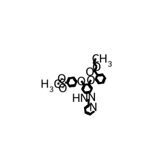 CCOC(=O)c1ccccc1Oc1cc2nc(-c3ccccn3)[nH]c2cc1Oc1ccc(S(C)(=O)=O)cc1